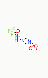 CCOC(=O)CN1CCN(CCNC(=O)C(F)(F)F)CC1